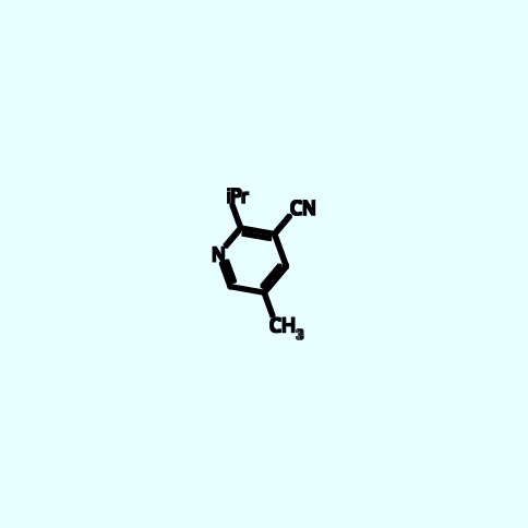 Cc1cnc(C(C)C)c(C#N)c1